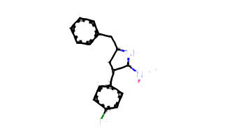 O=[N+]([O-])C1NC(Cc2ccccc2)CC1c1ccc(Cl)cc1